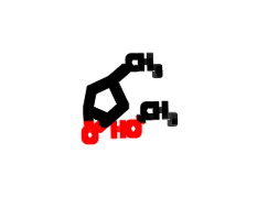 CC1CC2OC2C1.CO